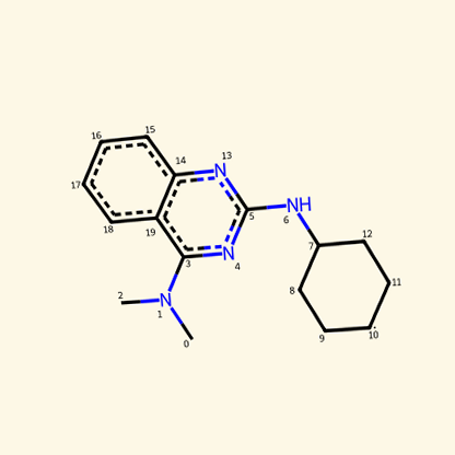 CN(C)c1nc(NC2CC[CH]CC2)nc2ccccc12